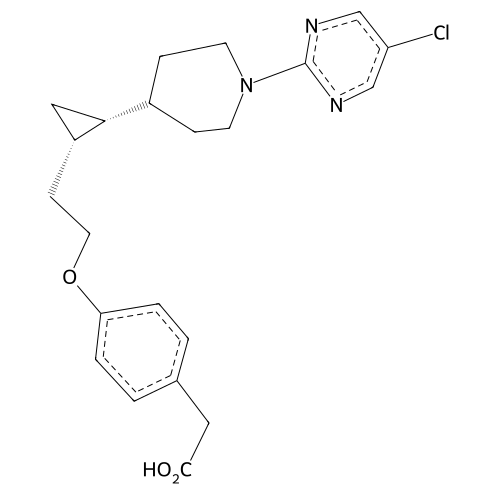 O=C(O)Cc1ccc(OCC[C@@H]2C[C@@H]2C2CCN(c3ncc(Cl)cn3)CC2)cc1